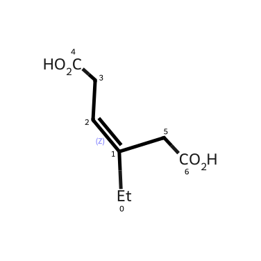 CC/C(=C/CC(=O)O)CC(=O)O